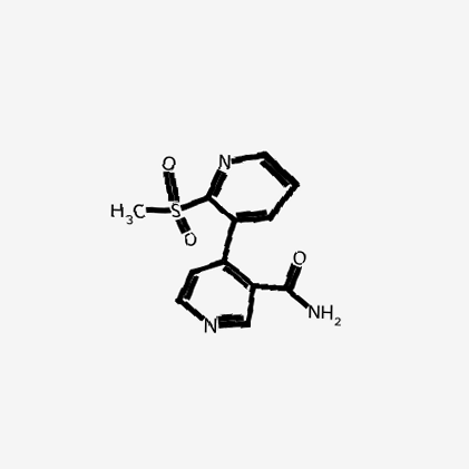 CS(=O)(=O)c1ncccc1-c1ccncc1C(N)=O